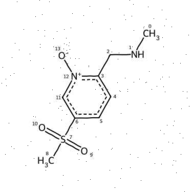 CNCc1ccc(S(C)(=O)=O)c[n+]1[O-]